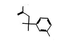 COC(=O)CC(C)(N)c1cccc(C(F)(F)F)c1.Cl